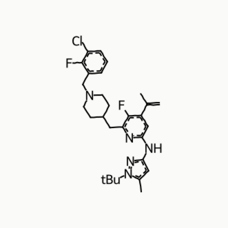 C=C(C)c1cc(Nc2cc(C)n(C(C)(C)C)n2)nc(CC2CCN(Cc3cccc(Cl)c3F)CC2)c1F